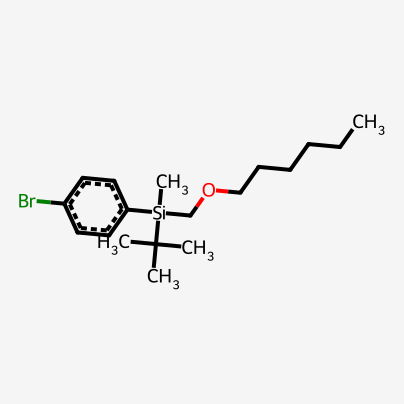 CCCCCCOC[Si](C)(c1ccc(Br)cc1)C(C)(C)C